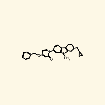 Cn1c2c(c3ccc(-n4ccc(OCc5ccccc5)cc4=O)cc31)CCN(CC1CC1)C2